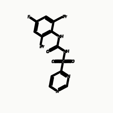 CC(C)c1cc(F)cc(C(C)C)c1NC(=O)NS(=O)(=O)c1ccncn1